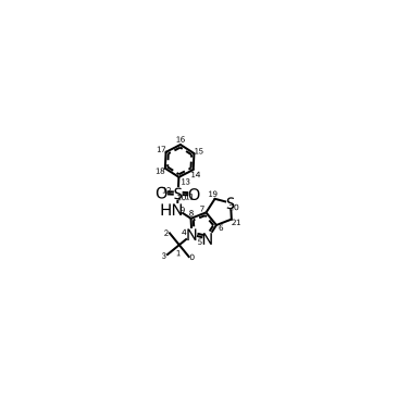 CC(C)(C)n1nc2c(c1NS(=O)(=O)c1ccccc1)CSC2